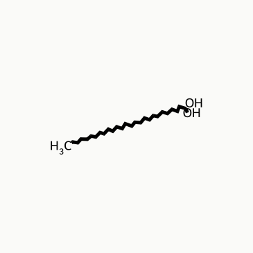 CCCCCCCCCCCCCCCCCCCCCCCCCCC(O)O